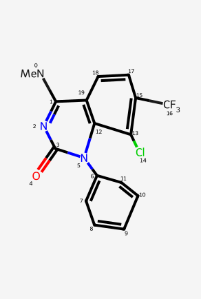 CNc1nc(=O)n(-c2ccccc2)c2c(Cl)c(C(F)(F)F)ccc12